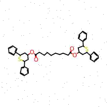 O=C(CCCCCCCCC(=O)OC1CC(c2ccccc2)SC(c2ccccc2)C1)OC1CC(c2ccccc2)SC(c2ccccc2)C1